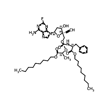 C#C[C@]1(COP(=O)(N[C@@H](Cc2ccccc2)C(=O)OCCCCCCCCC)O[C@@H](C)C(=O)OCCCCCCCCC)O[C@@H](n2cnc3c(N)nc(F)nc32)C[C@@H]1O